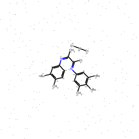 CCCCc1cc(N=C(C)C(CC)=Nc2cc(C)c(CCCC)c(CCCC)c2)ccc1C.C[CH2][Ni][CH2]C